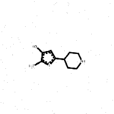 Cc1sc(C2CCNCC2)cc1O